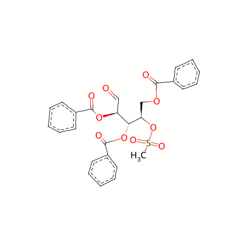 CS(=O)(=O)O[C@H](COC(=O)c1ccccc1)[C@H](OC(=O)c1ccccc1)[C@H](C=O)OC(=O)c1ccccc1